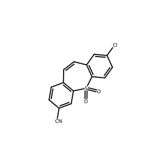 N#Cc1ccc2c(c1)S(=O)(=O)c1ccc(Cl)cc1C=C2